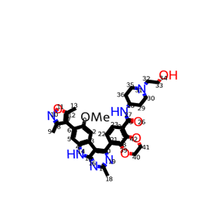 COc1cc2c(cc1-c1c(C)noc1C)[nH]c1nc(C)nc(-c3ccc(C(=O)NC4CCN(CCO)CC4)c4c3OCCO4)c12